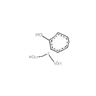 CCCCCCCCOCCCCCCCC.Oc1ccccc1